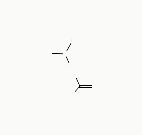 CCN(CC)CC.OC(=S)S